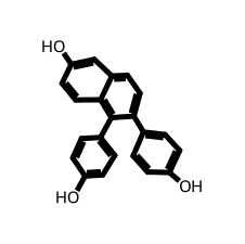 Oc1ccc(-c2ccc3cc(O)ccc3c2-c2ccc(O)cc2)cc1